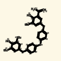 C=C(C)c1cc(Cc2ccc(Sc3ccc(Cc4cc(C(C)(C)C)c(O)c(C(C)(C)C)c4)cc3)cc2)cc(C(C)(C)C)c1O